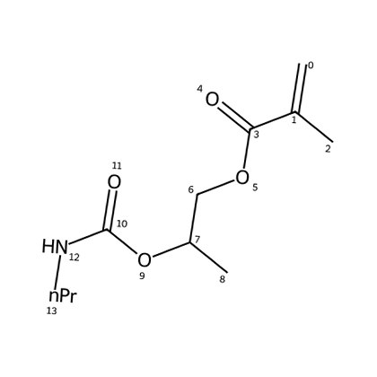 C=C(C)C(=O)OCC(C)OC(=O)NCCC